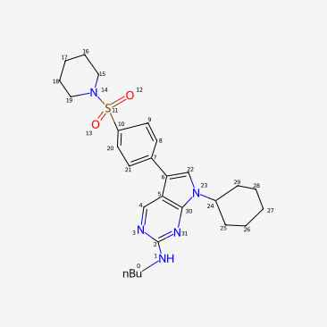 CCCCNc1ncc2c(-c3ccc(S(=O)(=O)N4CCCCC4)cc3)cn(C3CCCCC3)c2n1